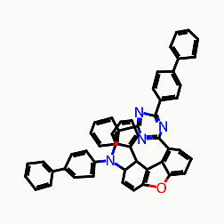 C1=CC2C(c3ccccc3N2c2ccc(-c3ccccc3)cc2)c2c1oc1cccc(-c3nc(-c4ccccc4)nc(-c4ccc(-c5ccccc5)cc4)n3)c21